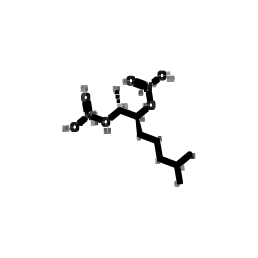 CC(C)CCC[C@H](O[N+](=O)[O-])[C@@H](C)O[N+](=O)[O-]